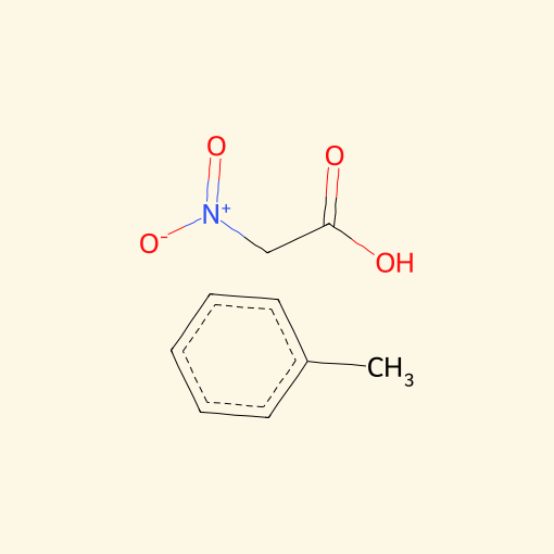 Cc1ccccc1.O=C(O)C[N+](=O)[O-]